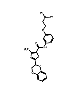 Cc1nc(C2COc3ccccc3O2)sc1C(=O)Nc1cccc(OCCN(C(C)C)C(C)C)c1